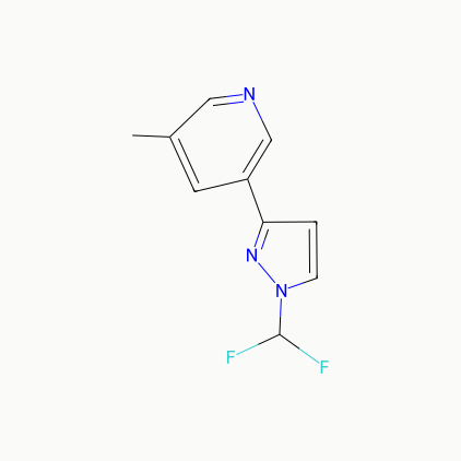 Cc1cncc(-c2ccn(C(F)F)n2)c1